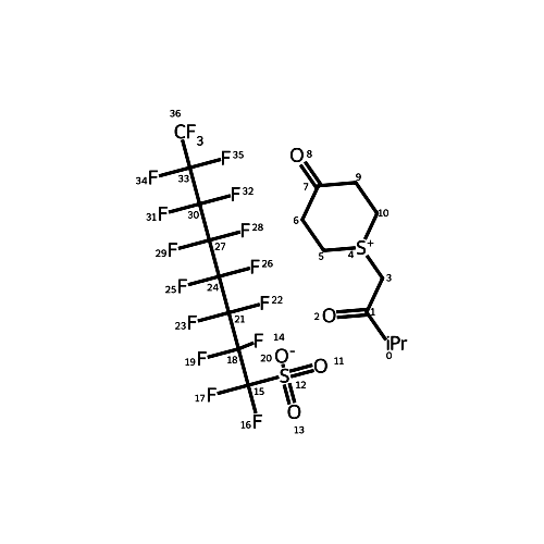 CC(C)C(=O)C[S+]1CCC(=O)CC1.O=S(=O)([O-])C(F)(F)C(F)(F)C(F)(F)C(F)(F)C(F)(F)C(F)(F)C(F)(F)C(F)(F)F